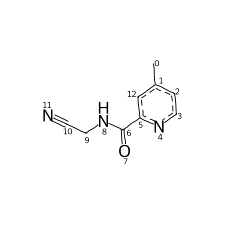 Cc1ccnc(C(=O)NCC#N)c1